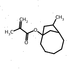 C=C(C)C(=O)OC12CCCCCC(C1)C(C)C2